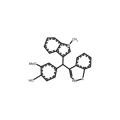 COc1cc(C(C2=CNSc3ccccc32)c2cn(C)c3ccccc23)ccc1O